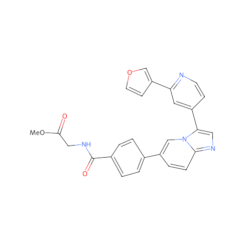 COC(=O)CNC(=O)c1ccc(-c2ccc3ncc(-c4ccnc(-c5ccoc5)c4)n3c2)cc1